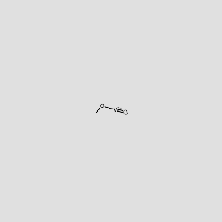 C[O][V+2]=[O]